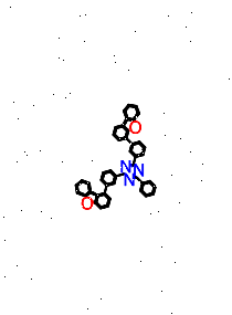 c1ccc(-c2nc(-c3cccc(-c4cccc5c4oc4ccccc45)c3)nc(-c3cccc(-c4cccc5oc6ccccc6c45)c3)n2)cc1